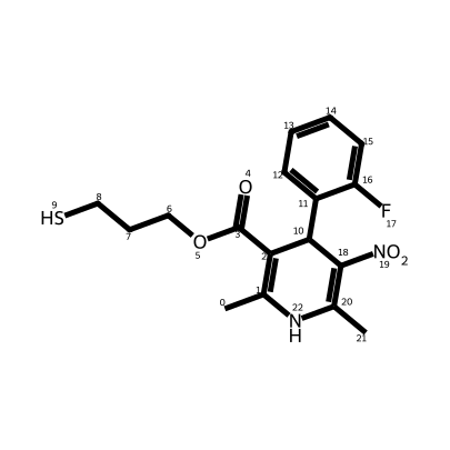 CC1=C(C(=O)OCCCS)C(c2ccccc2F)C([N+](=O)[O-])=C(C)N1